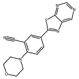 N#Cc1cc(-c2nc3cncnc3s2)ccc1N1CCOCC1